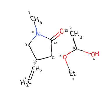 C=C.CCOC(C)O.CN1CCCC1=O